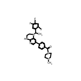 CC(c1cc(F)c(F)cc1F)N1CCNc2ncc(-c3ccc(C(=O)N4CCN(C)CC4)cc3)cc21